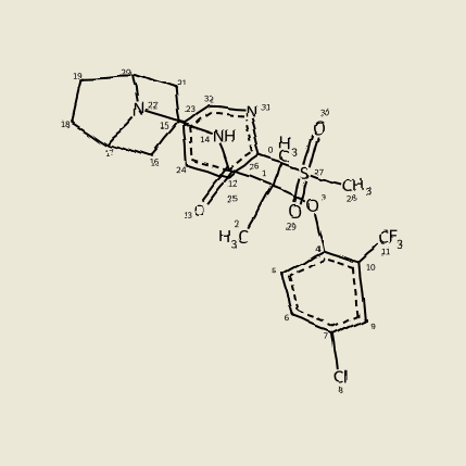 CC(C)(Oc1ccc(Cl)cc1C(F)(F)F)C(=O)NC1CC2CCC(C1)N2c1ccc(S(C)(=O)=O)nc1